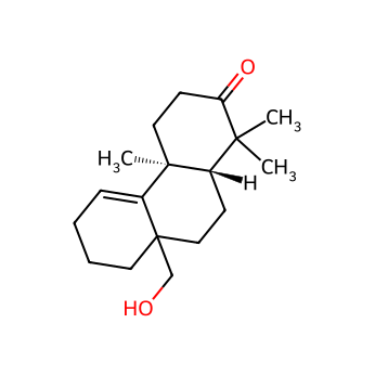 CC1(C)C(=O)CC[C@]2(C)C3=CCCCC3(CO)CC[C@@H]12